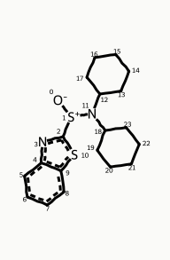 [O-][S+](c1nc2ccccc2s1)N(C1CCCCC1)C1CCCCC1